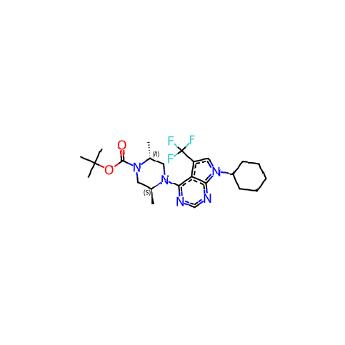 C[C@@H]1CN(c2ncnc3c2c(C(F)(F)F)cn3C2CCCCC2)[C@@H](C)CN1C(=O)OC(C)(C)C